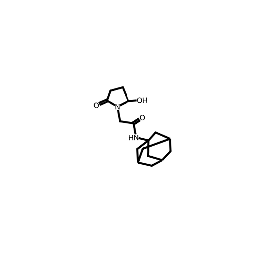 O=C(CN1C(=O)CCC1O)NC12CC3CC(CC(C3)C1)C2